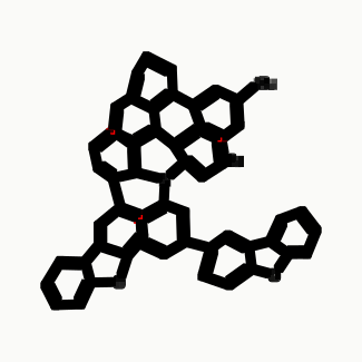 CC(C)(C)c1cc(-c2cccc3cccc(-c4ccccc4N(c4cccc(-c5ccc6oc7ccccc7c6c5)c4)c4ccccc4-c4ccc5oc6ccccc6c5c4)c23)cc(C(C)(C)C)c1